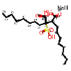 CCCCCCCCC(C(=O)O)C(CCCCCCCC)(C(=O)O)S(=O)(=O)O.[NaH]